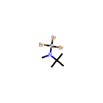 CN(C(C)(C)C)[Si](Br)(Br)Br